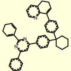 C1=CC(c2nc(-c3ccccc3)cc(-c3ccc(C4(c5ccc(C6=CCCc7cccnc76)cc5)CCCCC4)cc3)n2)=CCC1